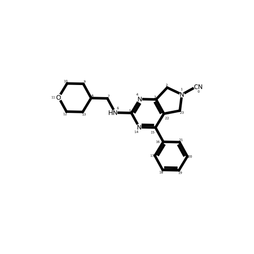 N#CN1Cc2nc(NCC3CCOCC3)nc(-c3ccccc3)c2C1